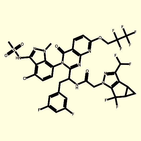 Cn1nc(NS(C)(=O)=O)c2c(Cl)ccc(-n3c(C(Cc4cc(F)cc(F)c4)NC(=O)Cn4nc(C(F)F)c5c4C(F)(F)C4CC54)nc4nc(OCC(F)(F)C(F)(F)F)ccc4c3=O)c21